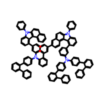 c1ccc(-c2ccccc2-c2ccc(N(c3ccc(-c4ccccc4-c4ccccc4)cc3)c3cccc(-c4cccc5c4c4c6ccc(-c7cccc(-c8ccccc8N(c8ccc(-c9ccccc9-c9ccccc9)cc8)c8cccc(-c9cccc%10c9c9c%11ccccc%11ccc9n%10-c9ccccc9)c8)c7)cc6ccc4n5-c4ccccc4)c3)cc2)cc1